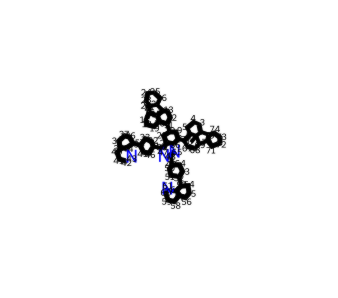 CC12C3=CC=CC1=C(c1cc(-c4ccc5c6c(cccc46)C4(C)C=CC=CC54)cc4c(-c5ccc(-c6cccc7cccnc67)cc5)nc(-c5ccc(-c6cccc7cccnc67)cc5)nc14)C=CC2c1ccccc13